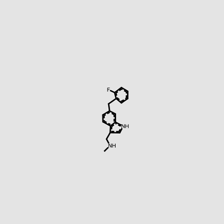 CNCc1c[nH]c2cc(Cc3ccccc3F)ccc12